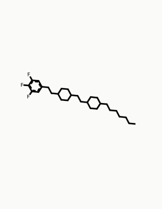 CCCCCCCC1CCC(CCC2CCC(CCc3cc(F)c(F)c(F)c3)CC2)CC1